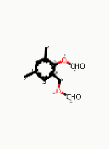 Cc1cc(C)c(OC=O)c(COC=O)c1